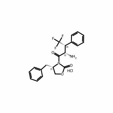 Cl.N[C@H](C(=O)N1C(=O)OC[C@@H]1Cc1ccccc1)[C@@H](c1ccccc1)C(F)(F)F